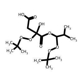 CC(C)C(OOC(C)(C)C)OC(=O)C(O)(CC(=O)O)OOC(C)(C)C